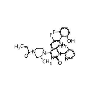 C=CC(=O)N1CCN(c2nc(=O)n(-c3ncccc3CCC)c3nc(-c4c(O)cccc4F)c(F)cc23)[C@@H](C)C1